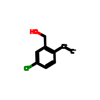 [CH2-][CH+]c1ccc(Cl)cc1CO